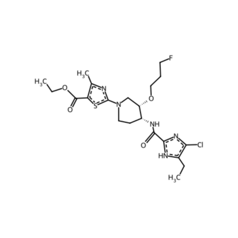 CCOC(=O)c1sc(N2CC[C@@H](NC(=O)c3nc(Cl)c(CC)[nH]3)[C@@H](OCCCF)C2)nc1C